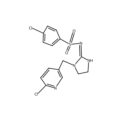 O=S(=O)(/N=C1/NCCN1Cc1ccc(Cl)nc1)c1ccc(Cl)cc1